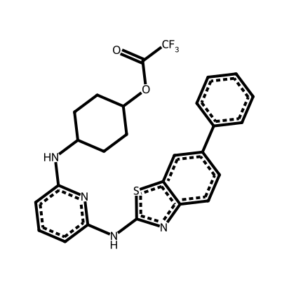 O=C(OC1CCC(Nc2cccc(Nc3nc4ccc(-c5ccccc5)cc4s3)n2)CC1)C(F)(F)F